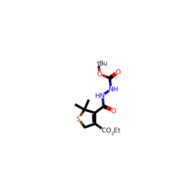 CCOC(=O)C1=C(C(=O)NNC(=O)OC(C)(C)C)C(C)(C)SC1